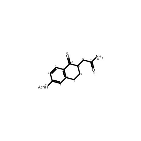 CC(=O)Nc1ccc2c(c1)CCC(CC(N)=O)C2=O